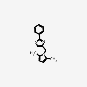 Cc1ccc(C)n1Cc1csc(-c2ccccc2)n1